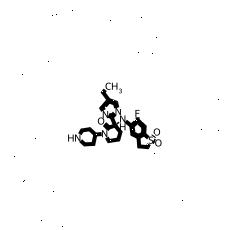 CCc1cnc([C@@]2(Nc3cc4c(cc3F)S(=O)(=O)CC4)CCCN(C3CCNCC3)C2=O)nc1